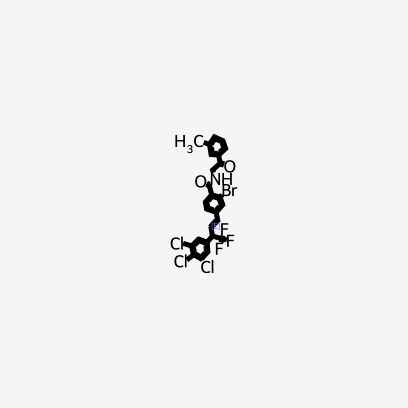 Cc1cccc(C(=O)CNC(=O)c2ccc(/C=C/C(c3cc(Cl)c(Cl)c(Cl)c3)C(F)(F)F)cc2Br)c1